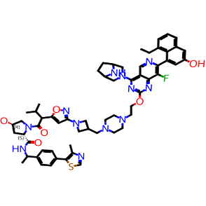 CCc1cccc2cc(O)cc(-c3ncc4c(N5CC6CCC(C5)N6)nc(OCCN5CCN(CC6CN(c7cc(C(C(=O)N8C[C@H](O)C[C@H]8C(=O)NC(C)c8ccc(-c9scnc9C)cc8)C(C)C)on7)C6)CC5)nc4c3F)c12